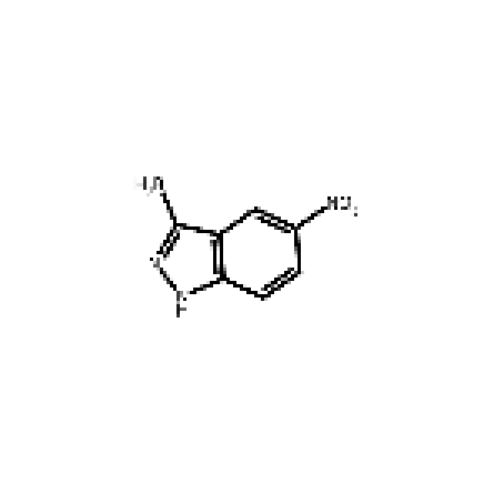 Bc1n[nH]c2ccc([N+](=O)[O-])cc12